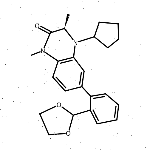 C[C@@H]1C(=O)N(C)c2ccc(-c3ccccc3C3OCCO3)cc2N1C1CCCC1